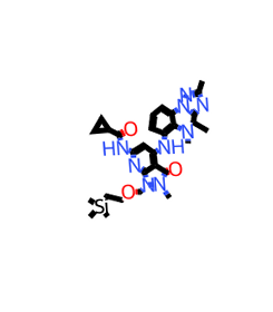 Cc1nc2n(n1)-c1cccc(Nc3cc(NC(=O)C4CC4)nc4c3c(=O)n(C)n4COCC[Si](C)(C)C)c1N(C)C2C